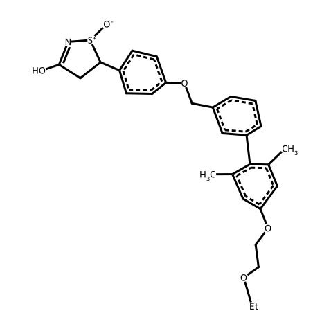 CCOCCOc1cc(C)c(-c2cccc(COc3ccc(C4CC(O)=N[S+]4[O-])cc3)c2)c(C)c1